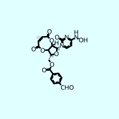 O=Cc1ccc(C(=O)OC[C@H]2O[C@@H](n3ccc(NO)nc3=O)[C@H]3OC(=O)/C=C\C(=O)OC23)cc1